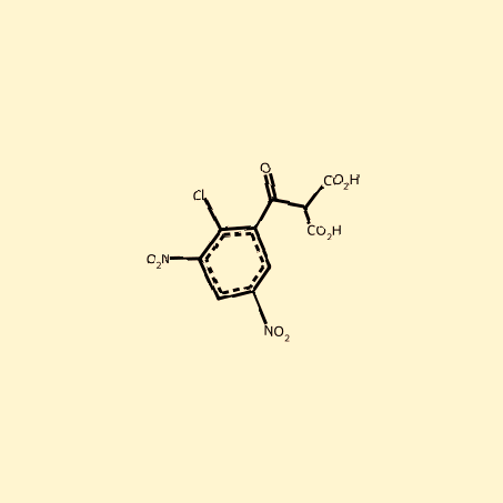 O=C(O)C(C(=O)O)C(=O)c1cc([N+](=O)[O-])cc([N+](=O)[O-])c1Cl